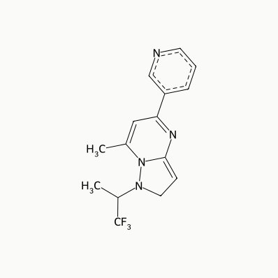 CC1=CC(c2cccnc2)=NC2=CCN(C(C)C(F)(F)F)N12